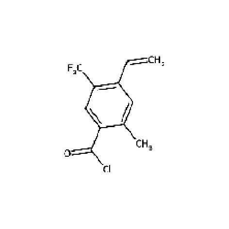 C=Cc1cc(C)c(C(=O)Cl)cc1C(F)(F)F